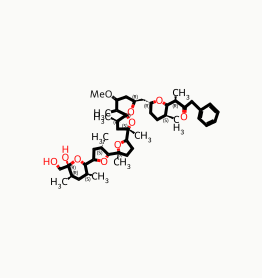 COC1C[C@@H](C[C@H]2CC[C@H](C)C([C@@H](C)C(=O)Cc3ccccc3)O2)O[C@]2(O[C@](C)(C3CC[C@@](C)(C4OC(C5O[C@@](O)(CO)[C@H](C)C[C@@H]5C)C[C@@H]4C)O3)C[C@H]2C)C1C